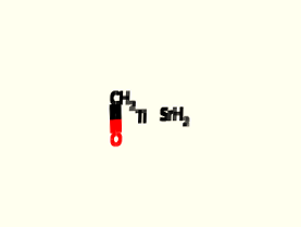 C=O.[SrH2].[Ti]